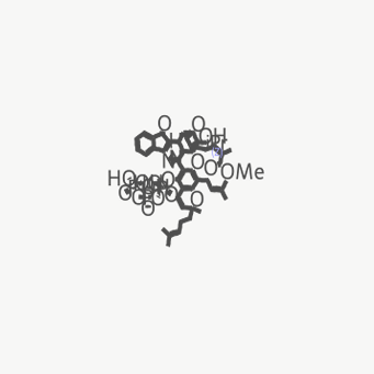 COC(=O)/C(C)=C\CC1(O)C(=O)C2CC(C(C)C)C13Oc1c(CC=C(C)C)c4c(c(OP(=O)(O)OP(=O)(O)OP(=O)(O)O)c1C15NCCN1C1=C(C(=O)c6ccccc61)C2C53)C=CC(C)(CCC=C(C)C)O4